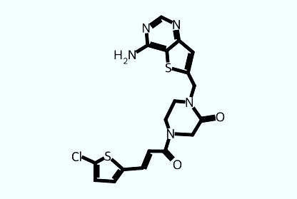 Nc1ncnc2cc(CN3CCN(C(=O)C=Cc4ccc(Cl)s4)CC3=O)sc12